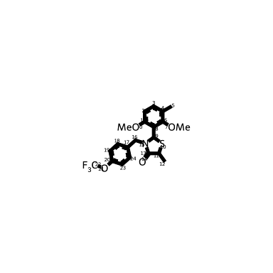 COc1ccc(C)c(OC)c1C1SC(C)C(=O)N1Cc1ccc(OC(F)(F)F)cc1